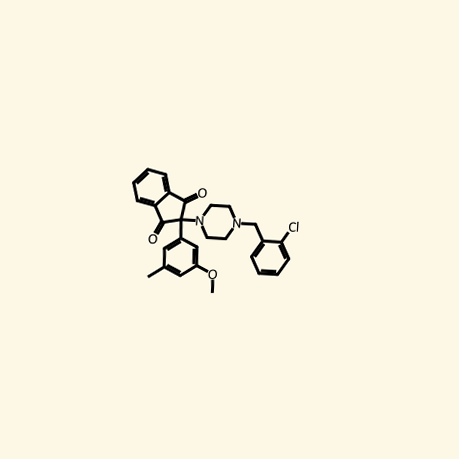 COc1cc(C)cc(C2(N3CCN(Cc4ccccc4Cl)CC3)C(=O)c3ccccc3C2=O)c1